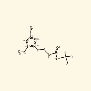 CC(C)(C)OC(=O)NCCn1nc(Br)cc1C=O